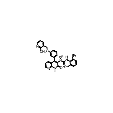 CCCCN(C(=O)Nc1c(C(C)C)cccc1C(C)C)c1c(-c2cccc(OCc3cccnc3C)c2)c2cccnc2[nH]c1=O